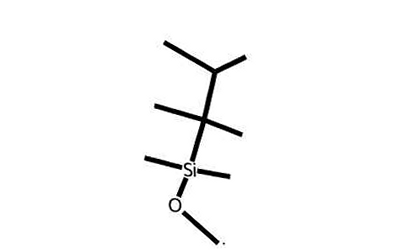 [CH2]O[Si](C)(C)C(C)(C)C(C)C